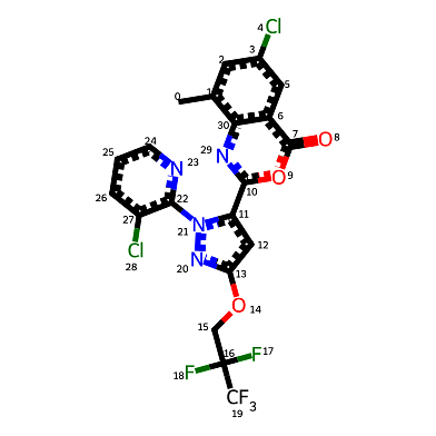 Cc1cc(Cl)cc2c(=O)oc(-c3cc(OCC(F)(F)C(F)(F)F)nn3-c3ncccc3Cl)nc12